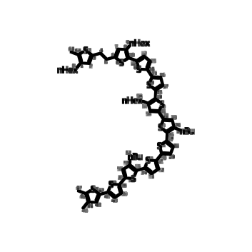 CCCCCCc1cc(CCc2cc(CCCCCC)c(-c3ccc(-c4ccc(-c5sc(-c6cc(CCCC)c(-c7ccc(-c8ccc(-c9sc(-c%10ccc(-c%11cc(C)c(C)s%11)s%10)cc9CCCC)s8)s7)s6)cc5CCCCCC)s4)s3)s2)sc1C